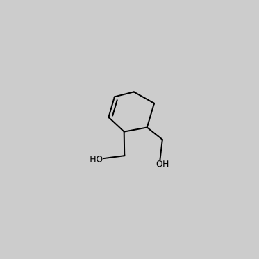 OCC1C=CCCC1CO